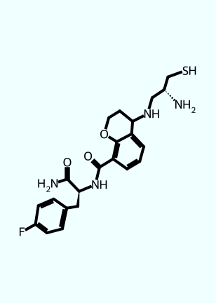 NC(=O)[C@H](Cc1ccc(F)cc1)NC(=O)c1cccc2c1OCCC2NC[C@@H](N)CS